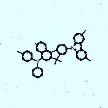 Cc1ccc(N(c2ccccc2)c2cc3c(c4ccccc24)-c2ccc(-n4c5ccc(C)cc5c5cc(C)ccc54)cc2C3(C)C)cc1